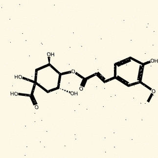 COc1cc(/C=C/C(=O)OC2[C@H](O)CC(O)(C(=O)O)C[C@H]2O)ccc1O